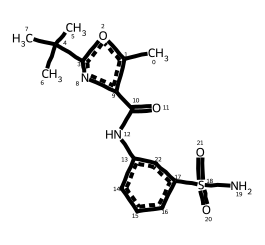 Cc1oc(C(C)(C)C)nc1C(=O)Nc1cccc(S(N)(=O)=O)c1